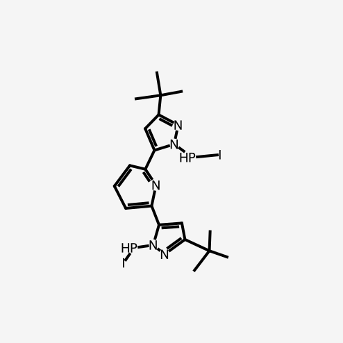 CC(C)(C)c1cc(-c2cccc(-c3cc(C(C)(C)C)nn3PI)n2)n(PI)n1